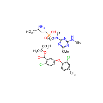 CCNc1nc(NC(C)(C)C)nc(SC)n1.CP(=O)(O)CCC(N)C(=O)O.C[C@H](OC(=O)c1cc(Oc2ccc(C(F)(F)F)cc2Cl)ccc1Cl)C(=O)O